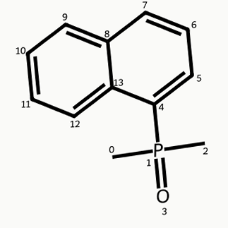 CP(C)(=O)c1cccc2ccccc12